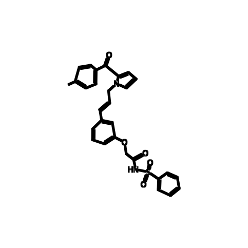 Cc1ccc(C(=O)c2cccn2C/C=C/c2cccc(OCC(=O)NS(=O)(=O)c3ccccc3)c2)cc1